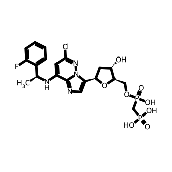 C[C@H](Nc1cc(Cl)nn2c([C@H]3C[C@H](O)[C@@H](COP(=O)(O)CP(=O)(O)O)O3)cnc12)c1ccccc1F